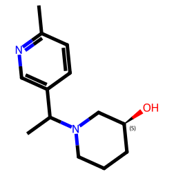 Cc1ccc(C(C)N2CCC[C@H](O)C2)cn1